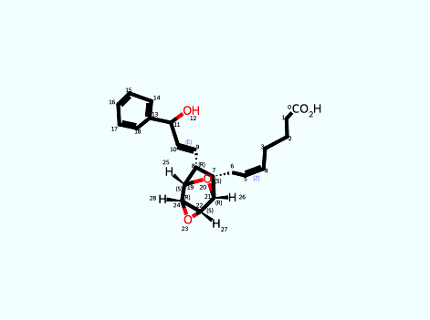 O=C(O)CCC/C=C\C[C@H]1[C@@H](/C=C/C(O)c2ccccc2)[C@@H]2O[C@H]1[C@@H]1O[C@@H]12